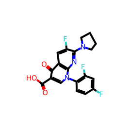 O=C(O)c1cn(-c2ccc(F)cc2F)c2nc(N3CCCC3)c(F)cc2c1=O